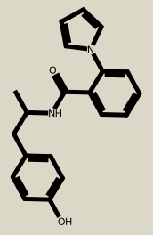 CC(Cc1ccc(O)cc1)NC(=O)c1ccccc1-n1cccc1